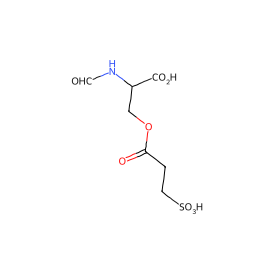 O=CNC(COC(=O)CCS(=O)(=O)O)C(=O)O